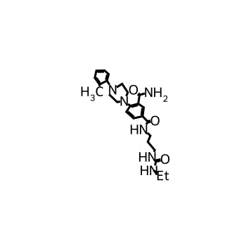 CCNC(=O)NCCCNC(=O)c1ccc(N2CCN(c3ccccc3C)CC2)c(C(N)=O)c1